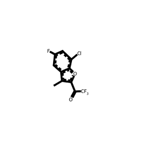 Cc1c(C(=O)C(F)(F)F)oc2c(Cl)cc(F)cc12